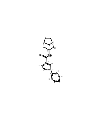 O=C(NC1CC2CCN(C2)C1)n1cc(-c2ccccn2)cn1